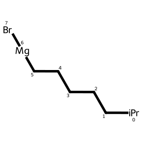 CC(C)CCCC[CH2][Mg][Br]